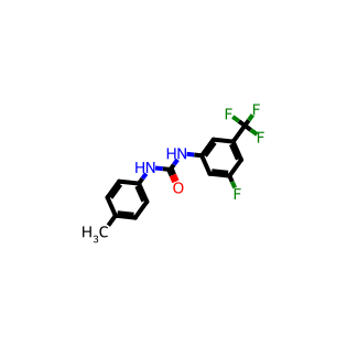 Cc1ccc(NC(=O)Nc2cc(F)cc(C(F)(F)F)c2)cc1